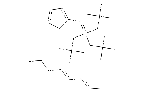 CC(C)(C)CP(CC(C)(C)C)(CC(C)(C)C)=NC1=CC=CC1.CC=CC=CCCC.[Ti]